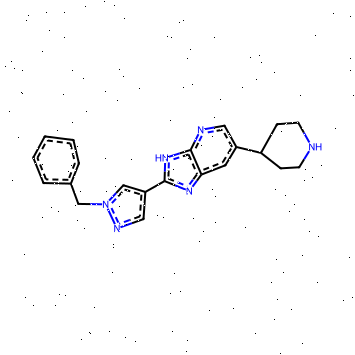 c1ccc(Cn2cc(-c3nc4cc(C5CCNCC5)cnc4[nH]3)cn2)cc1